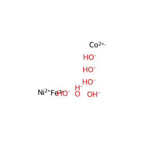 [Co+2].[Fe+2].[Ni+2].[OH-].[OH-].[OH-].[OH-].[OH-].[OH-]